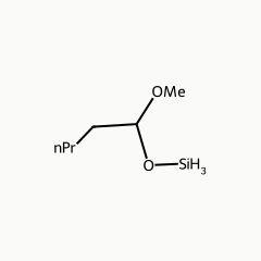 CCCCC(OC)O[SiH3]